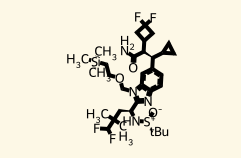 CC(C)(C[C@H](N[S@+]([O-])C(C)(C)C)c1nc2ccc([C@H](C3CC3)C(C(N)=O)C3CC(F)(F)C3)cc2n1COCC[Si](C)(C)C)C(F)F